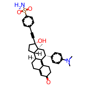 CN(C)c1ccc([C@H]2C[C@@]3(C)[C@@H](CC[C@@]3(O)C#Cc3ccc(S(N)(=O)=O)cc3)[C@@H]3CCC4=CC(=O)CCC4=C32)cc1